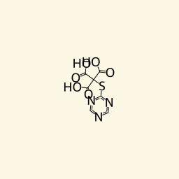 O=C(O)C(Sc1ncncn1)(C(=O)O)C(=O)O